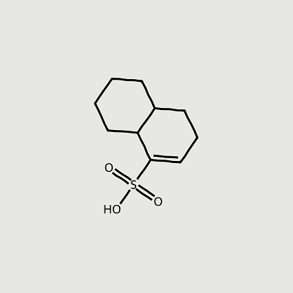 O=S(=O)(O)C1=CCCC2CCCCC12